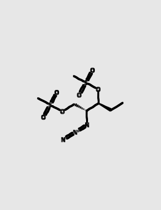 CC[C@H](OS(C)(=O)=O)[C@@H](COS(C)(=O)=O)N=[N+]=[N-]